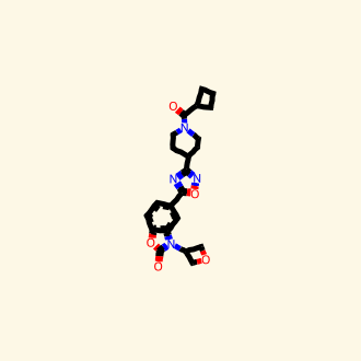 O=C(C1CCC1)N1CCC(c2noc(-c3ccc4oc(=O)n(C5COC5)c4c3)n2)CC1